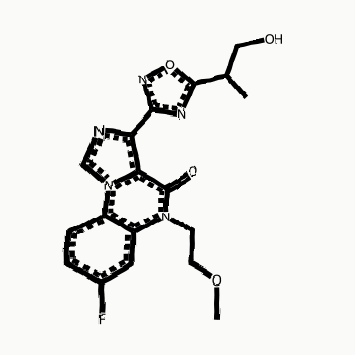 COCCn1c(=O)c2c(-c3noc(C(C)CO)n3)ncn2c2ccc(F)cc21